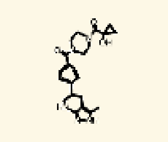 Cc1[nH]nc2c1CC(c1ccc(C(=O)N3CCN(C(=O)C4(O)CC4)CC3)cc1)CN2